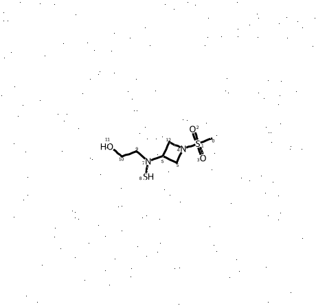 CS(=O)(=O)N1CC(N(S)CCO)C1